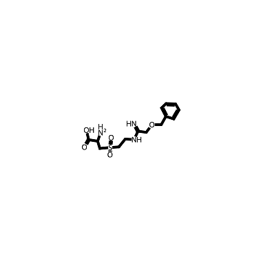 N=C(COCc1ccccc1)NCCS(=O)(=O)CC(N)C(=O)O